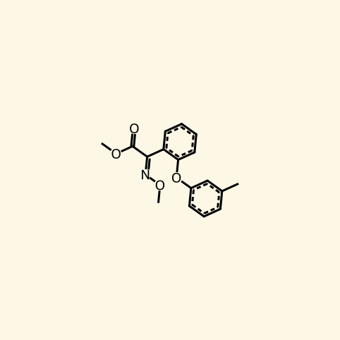 CO/N=C(/C(=O)OC)c1ccccc1Oc1cccc(C)c1